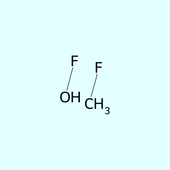 CF.OF